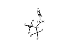 CC(C)(C)C(NC#N)[Si](C)(C)C